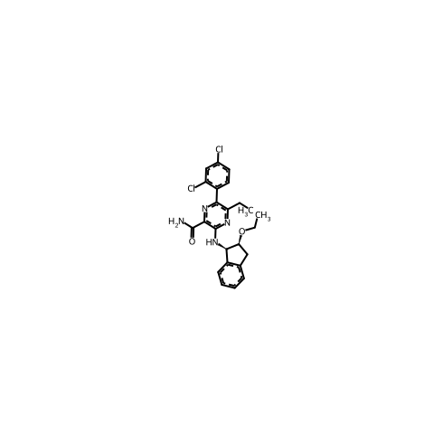 CCO[C@H]1Cc2ccccc2[C@H]1Nc1nc(CC)c(-c2ccc(Cl)cc2Cl)nc1C(N)=O